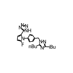 CCCCc1nc(C(C)CC)nn1Cc1ccc(-n2c(F)ccc2-c2nnn[nH]2)cc1